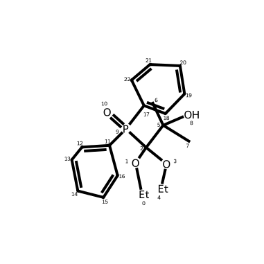 CCOC(OCC)(C(C)(C)O)P(=O)(c1ccccc1)c1ccccc1